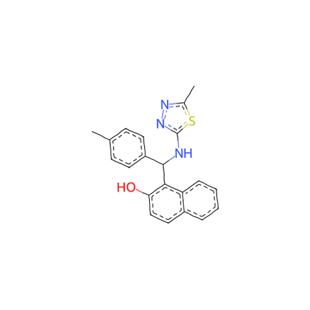 Cc1ccc(C(Nc2nnc(C)s2)c2c(O)ccc3ccccc23)cc1